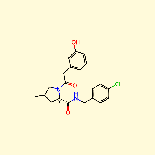 CC1C[C@@H](C(=O)NCc2ccc(Cl)cc2)N(C(=O)Cc2cccc(O)c2)C1